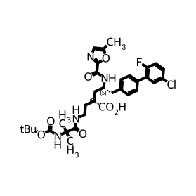 Cc1cnc(C(=O)N[C@H](Cc2ccc(-c3cc(Cl)ccc3F)cc2)C[C@@H](CCNC(=O)C(C)(C)NC(=O)OC(C)(C)C)C(=O)O)o1